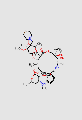 CC[C@H]1OC(=O)[C@H](C)[C@@H](O[C@H]2C[C@@](C)(OC)[C@](O)(CN3CCSCC3)[C@H](C)O2)[C@H](C)[C@@H](O[C@@H]2O[C@H](C)C[C@H](NC)[C@H]2Oc2ccccc2)[C@](C)(O)C[C@@H](C)CN[C@H](C)[C@@H](O)[C@]1(C)O